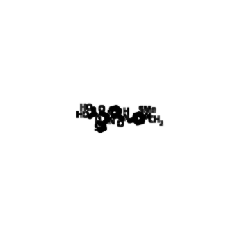 C=Nc1ccc(CNC(=O)c2cccn3c(C(=O)NC(CO)CO)c(-c4ccsc4)nc23)cc1SC